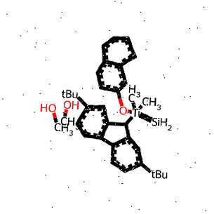 CC(C)(C)c1ccc2c(c1)[CH]([Ti]([CH3])([CH3])(=[SiH2])[O]c1ccc3ccccc3c1)c1cc(C(C)(C)C)ccc1-2.CO.CO